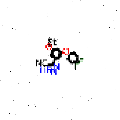 CCOc1cc(OC2CCC(F)(F)CC2)cc(-c2nn[nH]c2C#N)c1